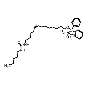 CCCCCNC(=O)NCCCC/C=C\CCCCCCCO[Si](c1ccccc1)(c1ccccc1)C(C)(C)C